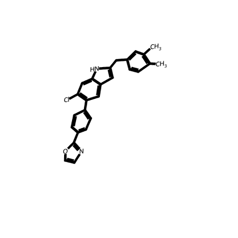 Cc1ccc(Cc2cc3cc(-c4ccc(-c5ncco5)cc4)c(Cl)cc3[nH]2)cc1C